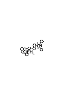 CC1(C)c2cc(-c3cccc4c(-c5nc(-c6ccccc6)nc(-c6ccccc6)n5)cccc34)ccc2-c2cc3cccc4c3c(c21)N(c1ccccc1)C=C4